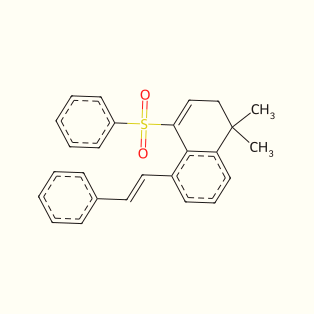 CC1(C)CC=C(S(=O)(=O)c2ccccc2)c2c(/C=C/c3ccccc3)cccc21